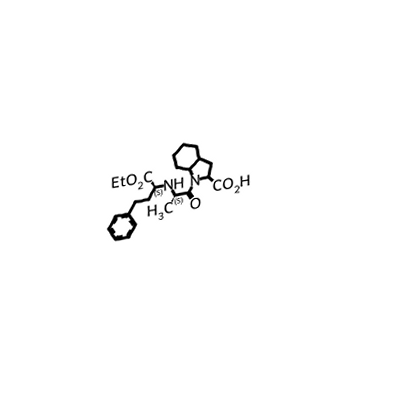 CCOC(=O)[C@H](CCc1ccccc1)N[C@@H](C)C(=O)N1C(C(=O)O)CC2CCCCC21